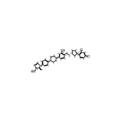 C=C1N(c2ccc(N3CCN(c4ccc(CC[C@@H]5CCC(c6ccc(Cl)cc6Cl)C5)c(C#N)c4)CC3)cc2)C=NN1C(C)CC